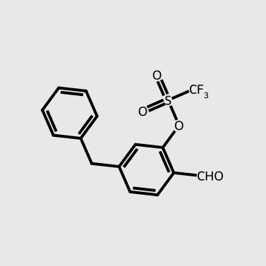 O=Cc1ccc(Cc2ccccc2)cc1OS(=O)(=O)C(F)(F)F